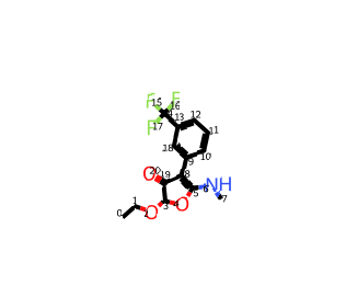 CCOC1OC(NC)=C(c2cccc(C(F)(F)F)c2)C1=O